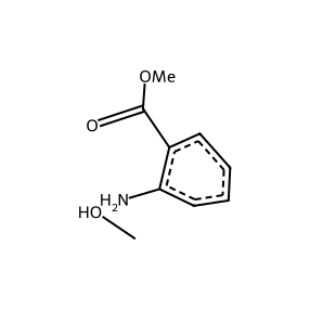 CO.COC(=O)c1ccccc1N